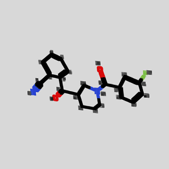 N#Cc1ccccc1C(=O)C1CCCN(C(=O)c2cccc(F)c2)C1